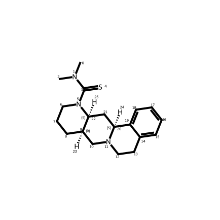 CN(C)C(=S)N1CCC[C@@H]2CN3CCc4ccccc4[C@@H]3C[C@@H]21